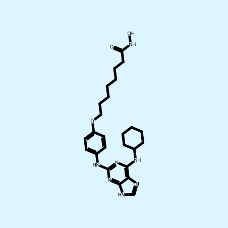 O=C(CCCCCCCOc1ccc(Nc2nc(NC3CCCCC3)c3nc[nH]c3n2)cc1)NO